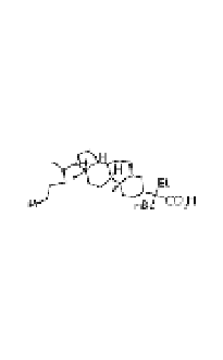 CCCCC(CC)(C(=O)O)[C@H]1CC[C@@]2(C)C(=CC[C@H]3[C@@H]4CC[C@H]([C@H](C)CCCC(C)C)[C@@]4(C)CC[C@@H]32)C1